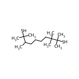 CC(CCCCC(C)(C)C(C)(C)S)C(C)(C)S